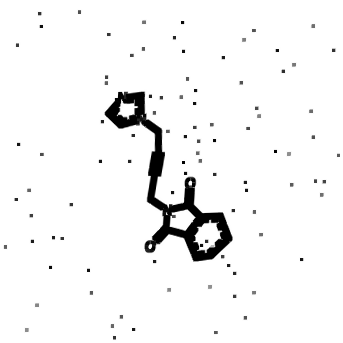 O=C1c2ccccc2C(=O)N1CC#CCn1ccnc1